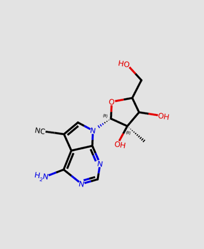 C[C@@]1(O)C(O)C(CO)O[C@H]1n1cc(C#N)c2c(N)ncnc21